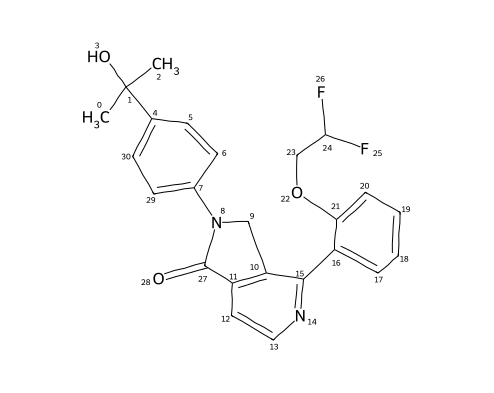 CC(C)(O)c1ccc(N2Cc3c(ccnc3-c3ccccc3OCC(F)F)C2=O)cc1